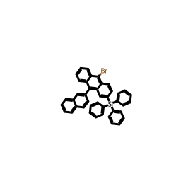 Brc1c2ccccc2c(-c2ccc3ccccc3c2)c2cc([Si](c3ccccc3)(c3ccccc3)c3ccccc3)ccc12